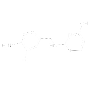 Nc1ccc(CNc2nccc(O)n2)cc1O